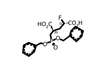 O=C(O)[C@@H](C[C@H](F)C(=O)O)CP(=O)(OCc1ccccc1)OCc1ccccc1